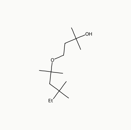 CCC(C)(C)CC(C)(C)OCCC(C)(C)O